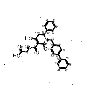 O=C(O)CNC(=O)C1=C(O)CC(c2ccccc2)N(Cc2ccc(-c3ccccc3)cc2)C1=O